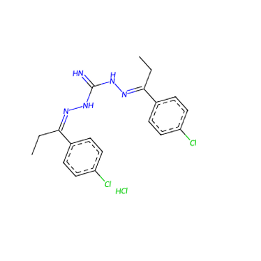 CCC(=NNC(=N)NN=C(CC)c1ccc(Cl)cc1)c1ccc(Cl)cc1.Cl